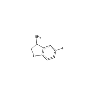 NC1COc2ccc(F)cc21